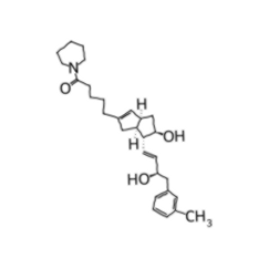 Cc1cccc(C[C@@H](O)/C=C/[C@@H]2[C@H]3CC(CCCCC(=O)N4CCCCC4)=C[C@H]3C[C@H]2O)c1